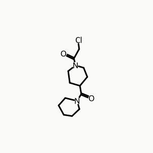 O=C(CCl)N1CCC(C(=O)N2CCCCC2)CC1